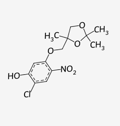 CC1(COc2cc(O)c(Cl)cc2[N+](=O)[O-])COC(C)(C)O1